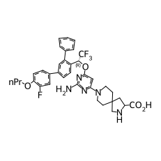 CCCOc1ccc(-c2ccc([C@@H](Oc3cc(N4CCC5(CC4)CNC(C(=O)O)C5)nc(N)n3)C(F)(F)F)c(-c3ccccc3)c2)cc1F